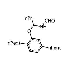 CCCCCc1ccc(CCCCC)c(OC(CCC)NC=O)c1